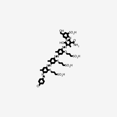 Cc1cc(N=Nc2cc(SCCCS(=O)(=O)O)c(N=Nc3cc(OCCCS(=O)(=O)O)c(N=Nc4c(C)c(C(N)=O)c5nc6c(S(=O)(=O)O)cc(CO)cc6n5c4O)cc3C)cc2C)c(SCCCS(=O)(=O)O)cc1N=Nc1ccc(Cl)cc1